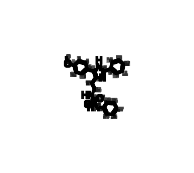 COc1ccc(-c2[nH]c(-c3ccccc3)nc2CCNS(=O)(=O)Nc2ccccc2)cc1